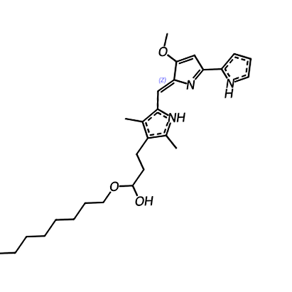 CCCCCCCCOC(O)CCc1c(C)[nH]c(/C=C2\N=C(c3ccc[nH]3)C=C2OC)c1C